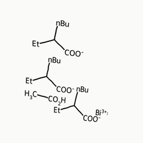 CC(=O)O.CCCCC(CC)C(=O)[O-].CCCCC(CC)C(=O)[O-].CCCCC(CC)C(=O)[O-].[Bi+3]